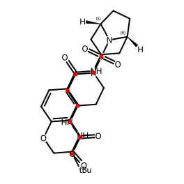 CC(C)(C)OC(=O)NC1CCN(S(=O)(=O)N2[C@@H]3CC[C@H]2CC(NC(=O)c2ccc4c(c2)NC(=O)CO4)C3)CC1